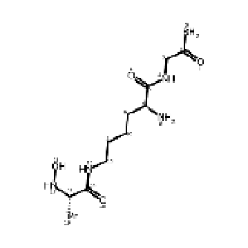 BC(=O)CNC(=O)[C@@H](N)CCCCNC(=O)[C@@H](NO)C(C)C